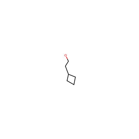 [O]CCC1CCC1